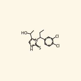 CCC(c1ccc(Cl)c(Cl)c1)n1c(C(C)O)c[nH]c1=S